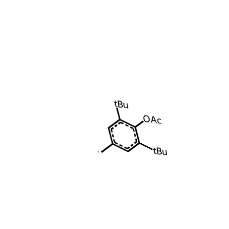 [CH2]c1cc(C(C)(C)C)c(OC(C)=O)c(C(C)(C)C)c1